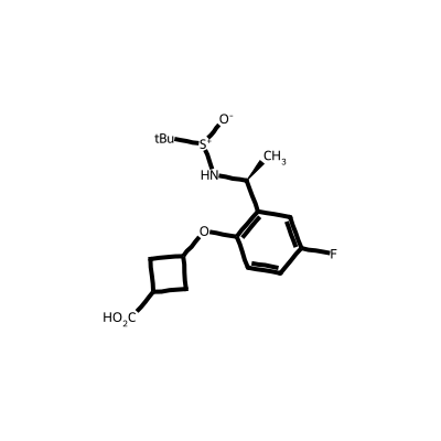 C[C@H](N[S+]([O-])C(C)(C)C)c1cc(F)ccc1OC1CC(C(=O)O)C1